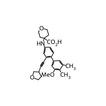 COc1cc(-c2ccc(NC3(C(=O)O)CCOCC3)cc2C#CC2CCOC2)cc(C)c1C